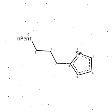 CCCCCCCCc1ccc[se]1